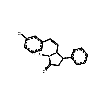 CN1C(=O)CC(c2ccccc2)C1/C=C\c1cccc(Cl)c1